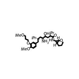 COCCCOc1cc(C[C@@H](C[C@H](N)[C@@H](O)C[C@H](C(=O)NC2[C@H]3CCCO[C@@H]23)C(C)C)C(C)C)ccc1OC